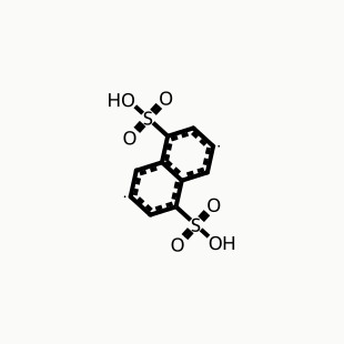 O=S(=O)(O)c1c[c]cc2c(S(=O)(=O)O)c[c]cc12